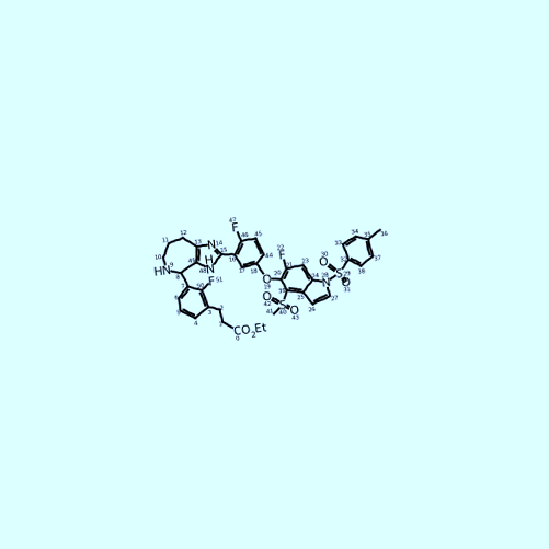 CCOC(=O)CCc1cccc(C2NCCCc3nc(-c4cc(Oc5c(F)cc6c(ccn6S(=O)(=O)c6ccc(C)cc6)c5S(C)(=O)=O)ccc4F)[nH]c32)c1F